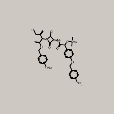 C=C(CCl)C(C(=O)OCc1ccc(OC)cc1)N1C(=O)C(NC(=O)C(O[Si](C)(C)C)c2ccc(OCc3ccc([N+](=O)[O-])cc3)cc2)C1Cl